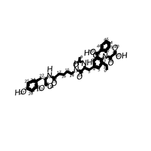 CCc1cc(CC(NC(C)=O)C(=O)NCCCCC(=O)N[C@@H](Cc2ccc(O)cc2)C(=O)O)ccc1N(C(=O)C(=O)O)c1ccccc1C(=O)O